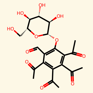 CC(=O)c1c(C=O)c(O[C@@H]2O[C@H](CO)[C@@H](O)[C@H](O)[C@H]2O)c(C(C)=O)c(C(C)=O)c1C(C)=O